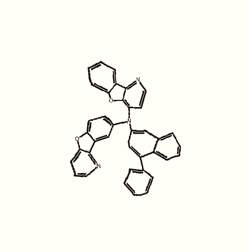 c1ccc(-c2cc(N(c3ccc4oc5cccnc5c4c3)c3ccnc4c3oc3ccccc34)cc3ccccc23)cc1